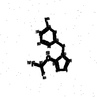 Fc1cc(Cn2cccc2OC(F)F)ccn1